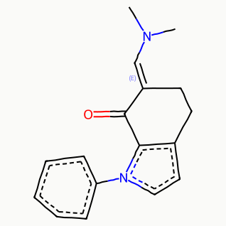 CN(C)/C=C1\CCc2ccn(-c3ccccc3)c2C1=O